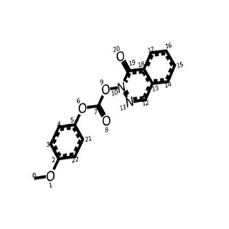 COc1ccc(OC(=O)On2ncc3ccccc3c2=O)cc1